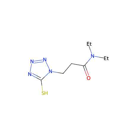 CCN(CC)C(=O)CCn1nnnc1S